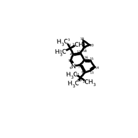 CC(C)(C)c1cnc2c(C(C)(C)C)cccc2c1C1CC1